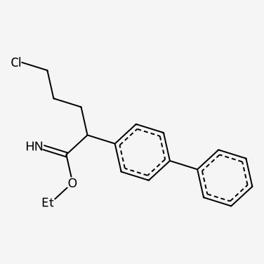 CCOC(=N)C(CCCCl)c1ccc(-c2ccccc2)cc1